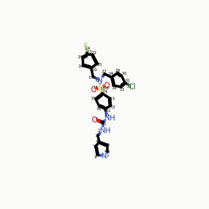 O=C(NCc1ccncc1)Nc1ccc(S(=O)(=O)N(Cc2ccc(F)cc2)Cc2ccc(Cl)cc2)cc1